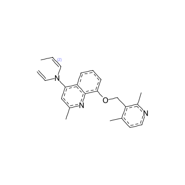 C=CN(/C=C\C)c1cc(C)nc2c(OCc3c(C)ccnc3C)cccc12